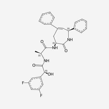 C[C@H](NC(=O)[C@@H](O)c1cc(F)cc(F)c1)C(=O)N[C@H]1CC(c2ccccc2)=C[C@@H](c2ccccc2)NC1=O